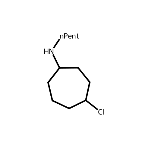 CCCCCNC1CCCC(Cl)CC1